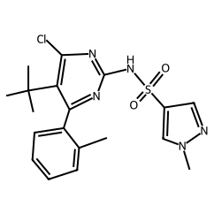 Cc1ccccc1-c1nc(NS(=O)(=O)c2cnn(C)c2)nc(Cl)c1C(C)(C)C